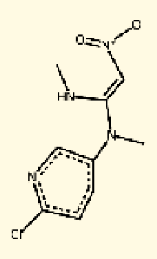 CNC(=C[N+](=O)[O-])N(C)c1ccc(Cl)nc1